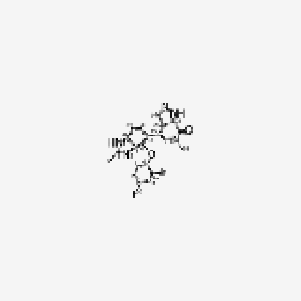 Cc1nc2c(Oc3ccc(F)cc3F)c(-c3cn(C)c(=O)c4[nH]ncc34)ccc2[nH]1